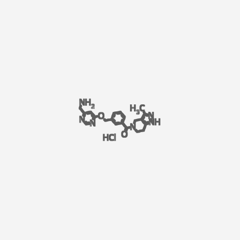 Cc1n[nH]c2c1CN(C(=O)c1cccc(COc3cc(CN)ncn3)c1)CC2.Cl